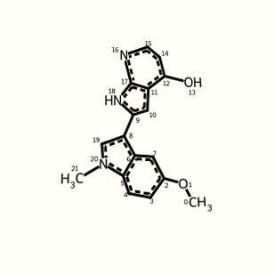 COc1ccc2c(c1)c(-c1cc3c(O)ccnc3[nH]1)cn2C